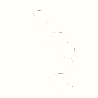 Cn1c(-c2ccc(C(F)(F)F)cc2)nc2c1CN(Cc1cccnc1Cl)CC2